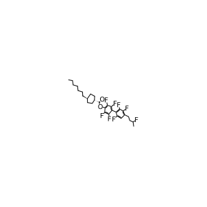 CCCCCCC[C@H]1CC[C@H](C(=O)Oc2c(F)c(F)c(-c3c(F)cc(CCC(C)F)c(F)c3F)c(F)c2F)CC1